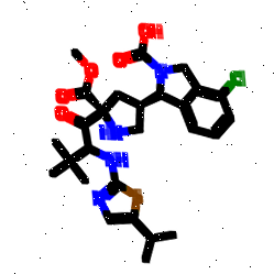 COC(=O)[C@@]1(C(=O)C(Nc2ncc(C(C)C)s2)C(C)(C)C)C[C@@H](C2c3cccc(Cl)c3CN2C(=O)O)CN1